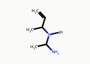 C=CC(C)N(C(C)C)C(C)N